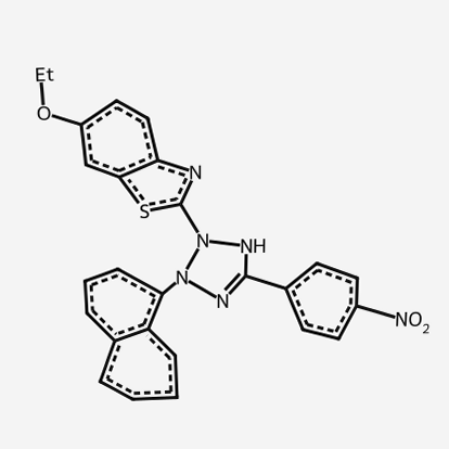 CCOc1ccc2nc(N3NC(c4ccc([N+](=O)[O-])cc4)=NN3c3cccc4ccccc34)sc2c1